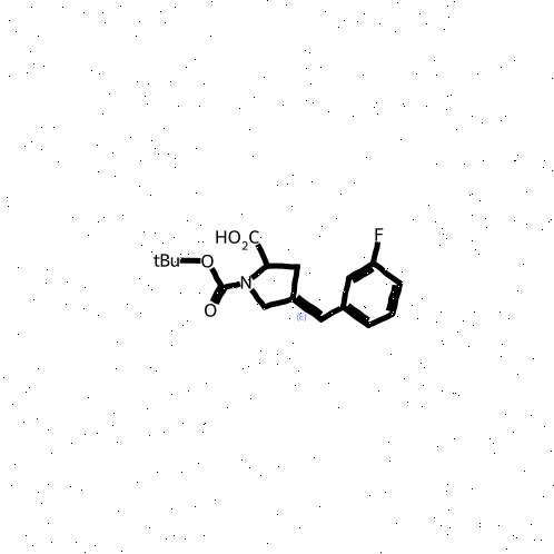 CC(C)(C)OC(=O)N1C/C(=C/c2cccc(F)c2)CC1C(=O)O